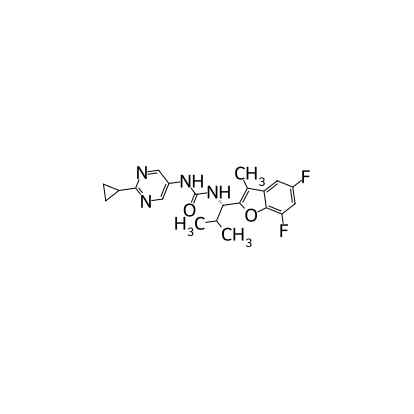 Cc1c([C@@H](NC(=O)Nc2cnc(C3CC3)nc2)C(C)C)oc2c(F)cc(F)cc12